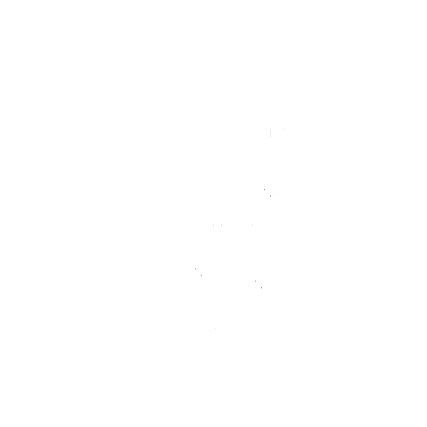 O=CC(Cc1ccccc1)NC(=O)C1CCCN1c1nc2ccccc2s1